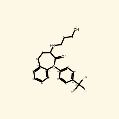 O=C1C(NCCCO)CCc2ccccc2N1c1ccc(C(F)(F)F)cc1